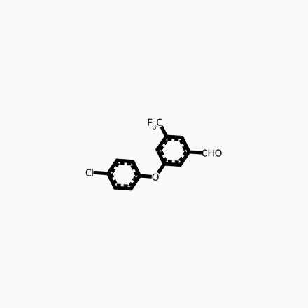 O=Cc1cc(Oc2ccc(Cl)cc2)cc(C(F)(F)F)c1